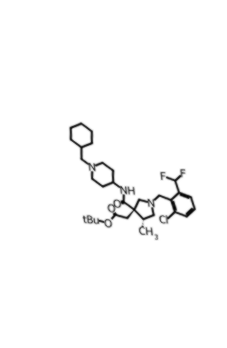 C[C@H]1CN(Cc2c(Cl)cccc2C(F)F)C[C@@]1(CC(=O)OC(C)(C)C)C(=O)NC1CCN(CC2CCCCC2)CC1